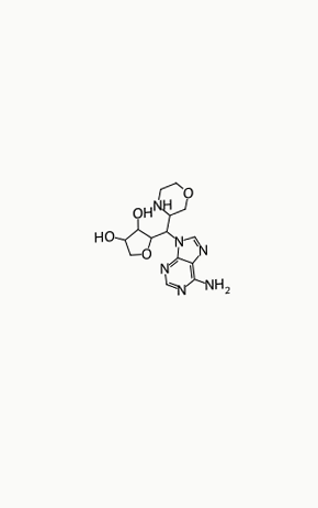 Nc1ncnc2c1ncn2C(C1COCCN1)C1OCC(O)C1O